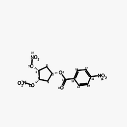 O=C(O[C@@H]1C[C@H](O[N+](=O)[O-])[C@H](O[N+](=O)[O-])C1)c1ccc([N+](=O)[O-])cc1